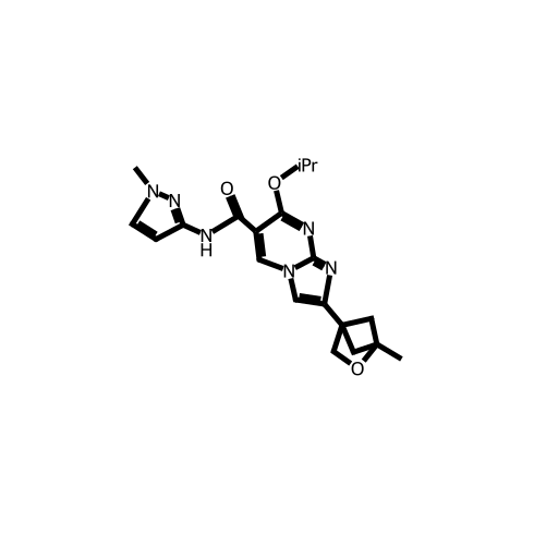 CC(C)Oc1nc2nc(C34COC(C)(C3)C4)cn2cc1C(=O)Nc1ccn(C)n1